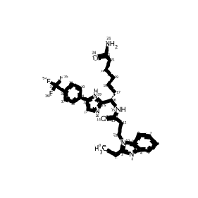 CCc1nc2ccccc2n1CCC(=O)N[C@@H](CCCCCC(N)=O)c1ncc(-c2ccc(C(F)(F)F)cc2)[nH]1